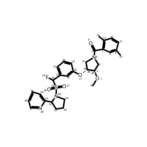 CO[C@@H]1CN(C(=O)c2cc(C)ccc2C)C[C@H]1Oc1cccc(C(F)S(=O)(=O)N2CCCC2c2ccccn2)c1